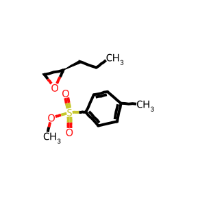 CCC[C@@H]1CO1.COS(=O)(=O)c1ccc(C)cc1